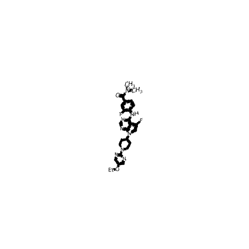 CCOc1cnc(N2CCC(n3cc(F)c4c(Nc5ccc(C(=O)N(C)C)cc5F)ncnc43)CC2)nc1